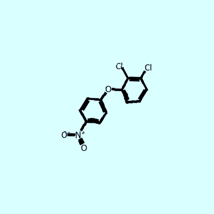 O=[N+]([O-])c1ccc(Oc2cccc(Cl)c2Cl)cc1